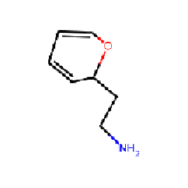 NCCC1C=CC=CO1